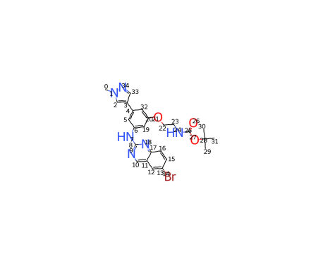 Cn1cc(-c2cc(Nc3ncc4cc(Br)ccc4n3)cc(OCCNC(=O)OC(C)(C)C)c2)cn1